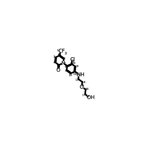 O=c1ccc(C(F)(F)F)cn1-c1ccc(NCCOCCO)cc1Cl